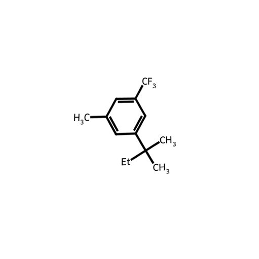 CCC(C)(C)c1cc(C)cc(C(F)(F)F)c1